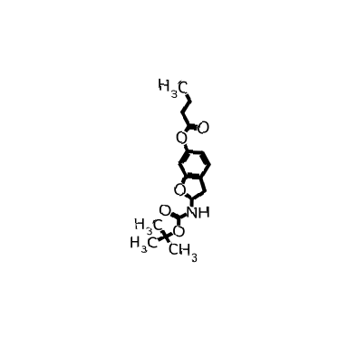 CCCC(=O)Oc1ccc2c(c1)OC(NC(=O)OC(C)(C)C)C2